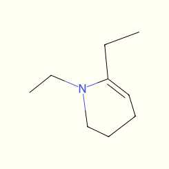 CCC1=CCCCN1CC